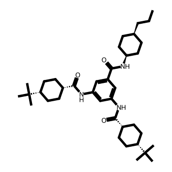 CCC[C@H]1CC[C@@H](NC(=O)c2cc(NC(=O)[C@H]3CC[C@@H](C(C)(C)C)CC3)cc(NC(=O)[C@H]3CC[C@@H](C(C)(C)C)CC3)c2)CC1